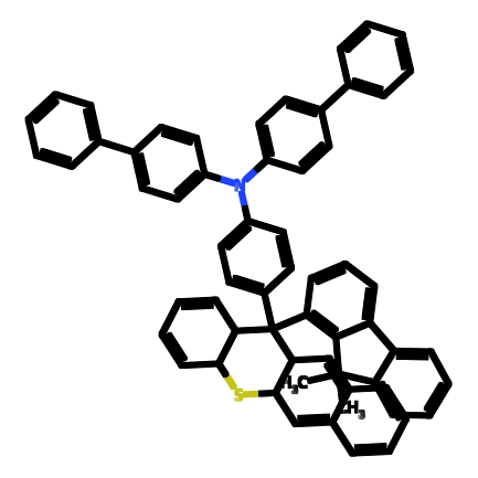 CC1(C)c2ccccc2-c2cccc(C3(c4ccc(N(c5ccc(-c6ccccc6)cc5)c5ccc(-c6ccccc6)cc5)cc4)C4C=CC=CC4SC4C=c5ccccc5=CC43)c21